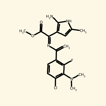 C=C(/N=C(/C(=O)OC)c1cc(C)[nH]c1N)c1ccc(Cl)c(N(C)C)c1F